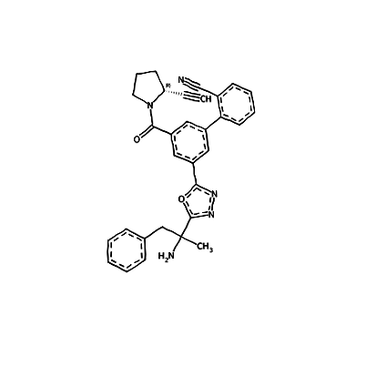 C#C[C@H]1CCCN1C(=O)c1cc(-c2nnc(C(C)(N)Cc3ccccc3)o2)cc(-c2ccccc2C#N)c1